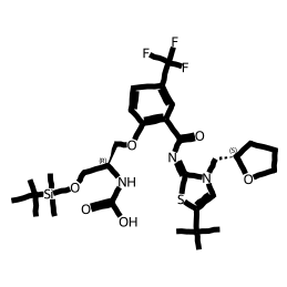 CC(C)(C)c1cn(C[C@@H]2CCCO2)c(=NC(=O)c2cc(C(F)(F)F)ccc2OC[C@H](CO[Si](C)(C)C(C)(C)C)NC(=O)O)s1